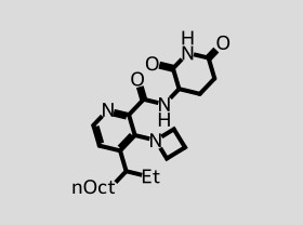 CCCCCCCCC(CC)c1ccnc(C(=O)NC2CCC(=O)NC2=O)c1N1CCC1